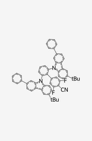 CC(C)(C)c1ccc2c(c1)c1ccc(-c3ccccc3)cc1n2-c1cccc(-n2c3ccc(C(C)(C)C)cc3c3ccc(-c4ccccc4)cc32)c1-c1cc(F)c(C#N)c(F)c1